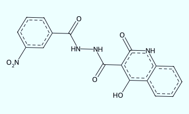 O=C(NNC(=O)c1c(O)c2ccccc2[nH]c1=O)c1cccc([N+](=O)[O-])c1